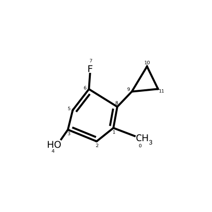 Cc1cc(O)cc(F)c1C1CC1